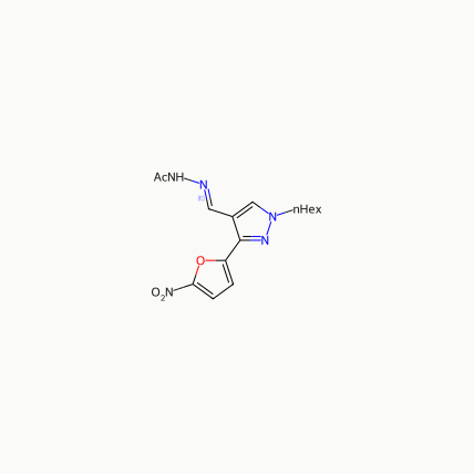 CCCCCCn1cc(/C=N/NC(C)=O)c(-c2ccc([N+](=O)[O-])o2)n1